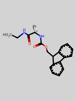 CC(C)[C@H](NC(=O)OCC1c2ccccc2-c2ccccc21)C(=O)NCC(=O)O